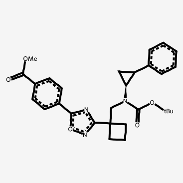 COC(=O)c1ccc(-c2nc(C3(CN(C(=O)OC(C)(C)C)[C@H]4CC4c4ccccc4)CCC3)no2)cc1